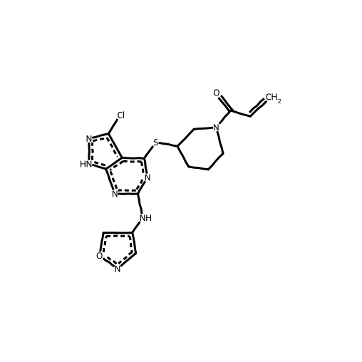 C=CC(=O)N1CCCC(Sc2nc(Nc3cnoc3)nc3[nH]nc(Cl)c23)C1